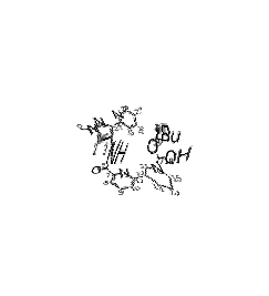 Cn1cc(NC(=O)c2cccc(C3=CCCN(C(O)OC(C)(C)C)C3)n2)c(-c2ccccn2)n1